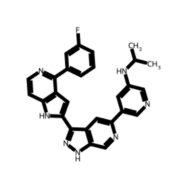 CC(C)Nc1cncc(-c2cc3c(-c4cc5c(-c6cccc(F)c6)nccc5[nH]4)n[nH]c3cn2)c1